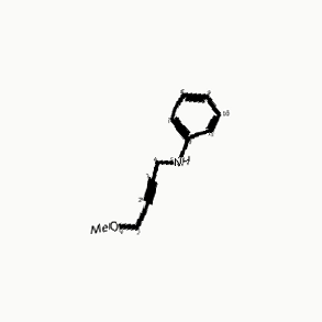 COCC#CCNc1ccccc1